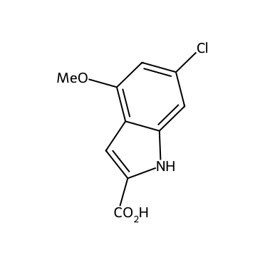 COc1cc(Cl)cc2[nH]c(C(=O)O)cc12